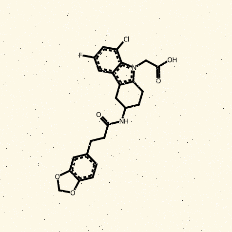 O=C(O)Cn1c2c(c3cc(F)cc(Cl)c31)CC(NC(=O)CCc1ccc3c(c1)OCO3)CC2